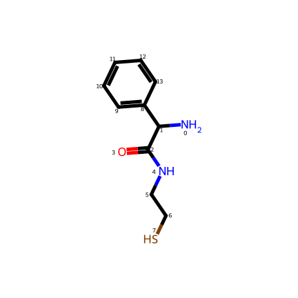 NC(C(=O)NCCS)c1ccccc1